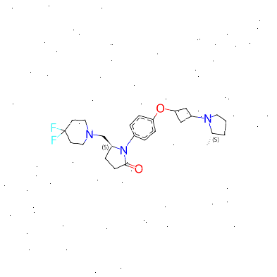 C[C@H]1CCCN1C1CC(Oc2ccc(N3C(=O)CC[C@H]3CN3CCC(F)(F)CC3)cc2)C1